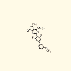 O=C(O)c1nc(-c2c(F)cc(-c3cccc(OC(F)(F)F)c3)cc2F)nc2c1C(O)CC2=O